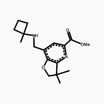 COC(=O)c1cc(CNC2(C)CCC2)c2c(n1)C(C)(C)CO2